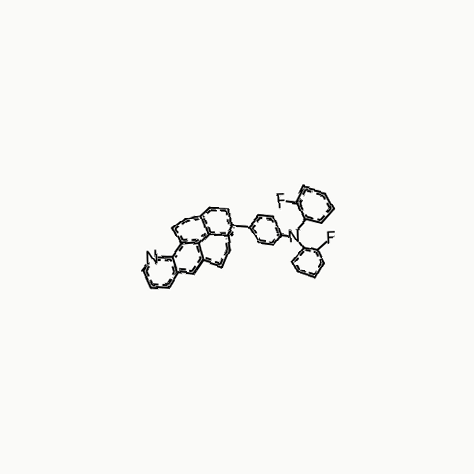 Fc1ccccc1N(c1ccc(-c2ccc3ccc4c5ncccc5cc5ccc2c3c54)cc1)c1ccccc1F